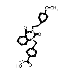 COc1ccc(CCn2c(=O)c3ccccc3n(Cc3ccc(C(=O)NO)cc3)c2=O)cc1